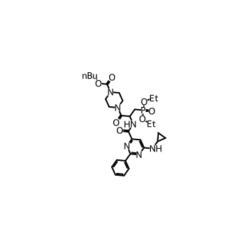 CCCCOC(=O)N1CCN(C(=O)C(CP(=O)(OCC)OCC)NC(=O)c2cc(NC3CC3)nc(-c3ccccc3)n2)CC1